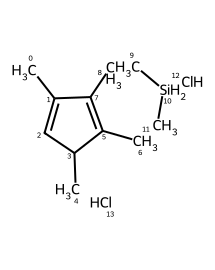 CC1=CC(C)C(C)=C1C.C[SiH2]C.Cl.Cl